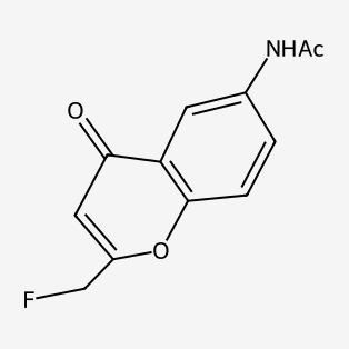 CC(=O)Nc1ccc2oc(CF)cc(=O)c2c1